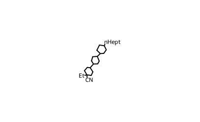 CCCCCCCC1CCC(C2CCC(C3CCC(C#N)(CC)CC3)CC2)CC1